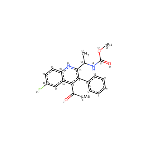 CNC(=O)c1c(-c2ccccc2)c(C(C)NC(=O)OC(C)(C)C)nc2ccc(F)cc12